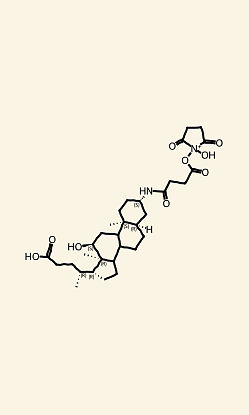 C[C@H](CCC(=O)O)[C@H]1CCC2C3CC[C@@H]4C[C@@H](NC(=O)CCC(=O)O[N+]5(O)C(=O)CCC5=O)CC[C@]4(C)C3C[C@H](O)[C@@]21C